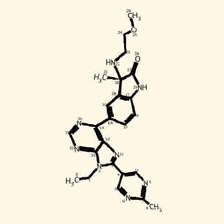 CCn1c(-c2cnc(C)nc2)nc2c(-c3ccc4c(c3)[C@](C)(NCCOC)C(=O)N4)ncnc21